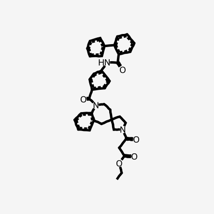 CCOC(=O)CC(=O)N1CCC2(CCN(C(=O)c3ccc(NC(=O)c4ccccc4-c4ccccc4)cc3)c3ccccc3C2)C1